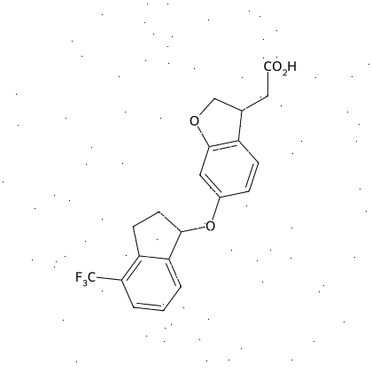 O=C(O)CC1COc2cc(OC3CCc4c3cccc4C(F)(F)F)ccc21